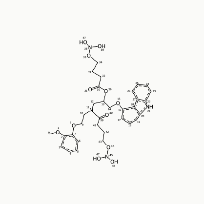 COc1ccccc1OCCN(CC(COc1cccc2[nH]c3ccccc3c12)OC(=O)CCCON(O)O)C(=O)CCCON(O)O